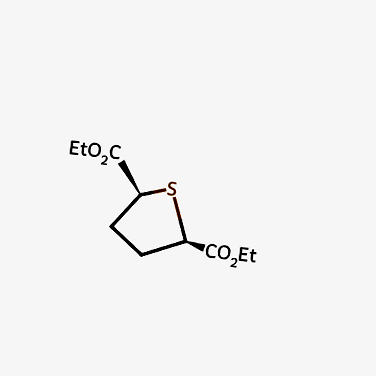 CCOC(=O)[C@@H]1CC[C@H](C(=O)OCC)S1